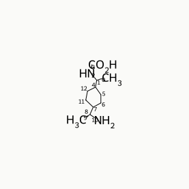 CC(NC(=O)O)C1CCC([C@H](C)N)CC1